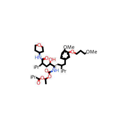 COCCCOc1cc(CC(C[C@H](NC(=O)OC(C)OC(=O)C(C)C)C(O)CC(C(=O)NC2CCOCC2)C(C)C)C(C)C)ccc1OC